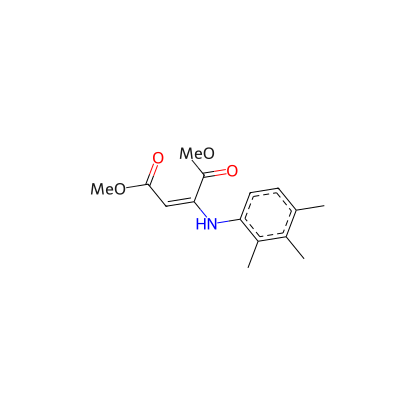 COC(=O)/C=C(/Nc1ccc(C)c(C)c1C)C(=O)OC